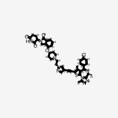 Cc1c(C#Cc2cnn(CCN3CCC(Oc4cccc5c4CN(C4CCC(=O)NC4=O)C5=O)CC3)c2)sc2c1C(c1ccc(Cl)cc1)=N[C@@H](C)c1nnc(C)n1-2